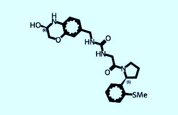 CSc1ccccc1[C@@H]1CCCN1C(=O)CNC(=O)NCc1ccc2c(c1)OC[C@@H](O)N2